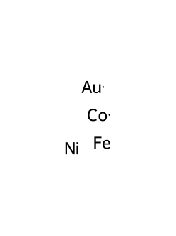 [Au].[Co].[Fe].[Ni]